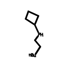 CCCCCCPC1CCC1